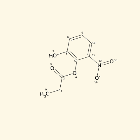 CCC(=O)Oc1c(O)cccc1[N+](=O)[O-]